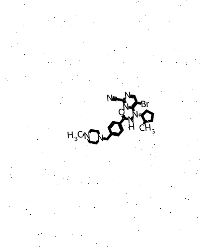 CC1CCC[C@H]1N(NC(=O)c1ccc(CN2CCN(C)CC2)cc1)c1nc(C#N)ncc1Br